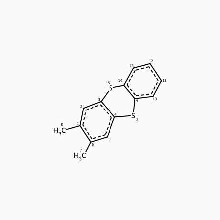 Cc1cc2c(cc1C)Sc1ccccc1S2